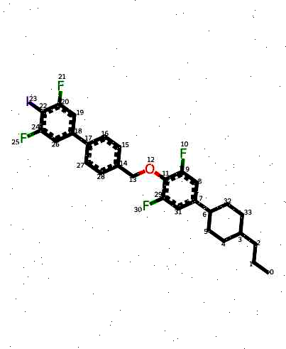 CCCC1CCC(c2cc(F)c(OCc3ccc(-c4cc(F)c(I)c(F)c4)cc3)c(F)c2)CC1